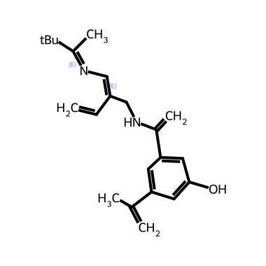 C=C/C(=C\N=C(/C)C(C)(C)C)CNC(=C)c1cc(O)cc(C(=C)C)c1